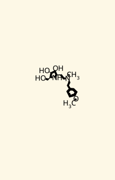 COc1ccc(CCN(C)CC[C@H]2N[C@@H](CO)[C@H](O)[C@H]2O)cc1